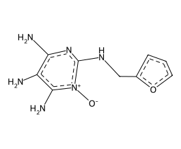 Nc1nc(NCc2ccco2)[n+]([O-])c(N)c1N